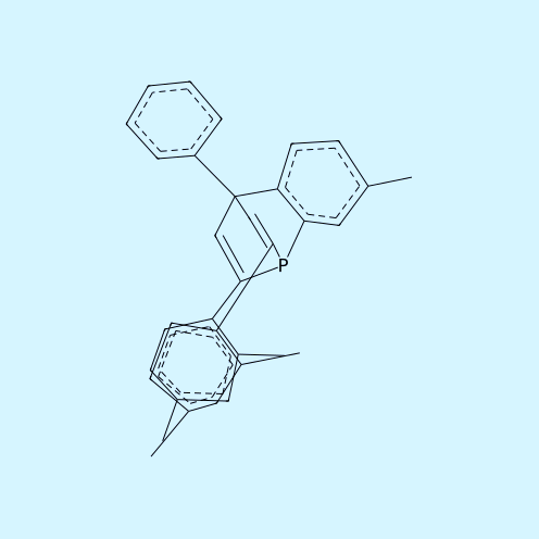 Cc1ccc(C2=CC3(c4ccccc4)C=C(c4ccc(C)cc4C)P2c2cc(C)ccc23)c(C)c1